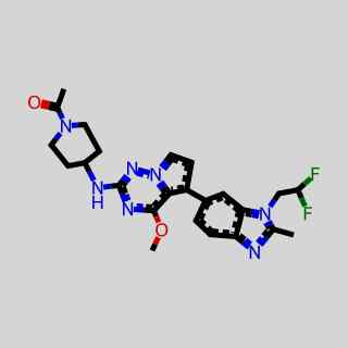 COc1nc(NC2CCN(C(C)=O)CC2)nn2ccc(-c3ccc4nc(C)n(CC(F)F)c4c3)c12